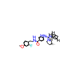 COc1ccc(CCNC(=O)c2ccc(N/C(=N/[C@H]3C[C@H]4C[C@@H]([C@@H]3C)C4(C)C)N3CCC[C@@H](C)C3)cc2)c(F)c1